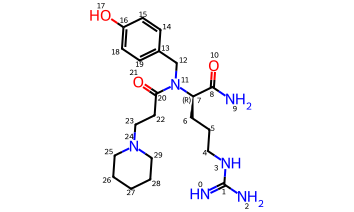 N=C(N)NCCC[C@H](C(N)=O)N(Cc1ccc(O)cc1)C(=O)CCN1CCCCC1